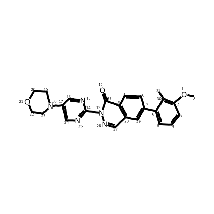 COc1cccc(-c2ccc3c(=O)n(-c4ncc(N5CCOCC5)cn4)ncc3c2)c1C